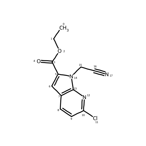 CCOC(=O)c1cc2ccc(Cl)nc2n1CC#N